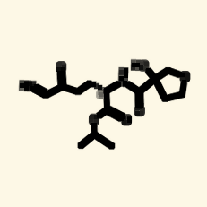 CC(C)OC(=O)[C@H](CCC(=O)C=N)NC(=O)C1(O)CCOC1